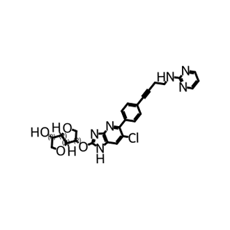 O[C@@H]1CO[C@H]2[C@@H]1OC[C@H]2Oc1nc2nc(-c3ccc(C#CCCNc4ncccn4)cc3)c(Cl)cc2[nH]1